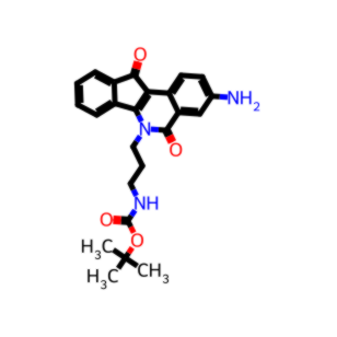 CC(C)(C)OC(=O)NCCCn1c2c(c3ccc(N)cc3c1=O)C(=O)c1ccccc1-2